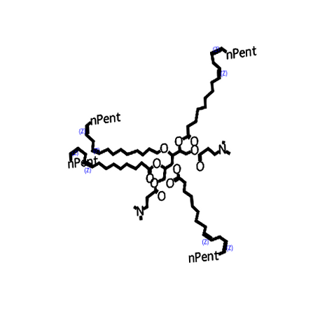 CCCCC/C=C\C/C=C\CCCCCCCCOC(C(COC(=O)CCN(C)C)OC(=O)CCCCCCC/C=C\C/C=C\CCCCC)C(OC(=O)CCCCCCC/C=C\C/C=C\CCCCC)C(COC(=O)CCN(C)C)OC(=O)CCCCCCC/C=C\C/C=C\CCCCC